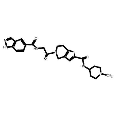 CN1CCC(NC(=O)c2cc3c(s2)CCN(C(=O)CNC(=O)c2ccc4[nH]ncc4c2)C3)CC1